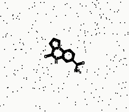 NC(=O)c1ccc2c(c1)[nH]c(=O)c1cccn12